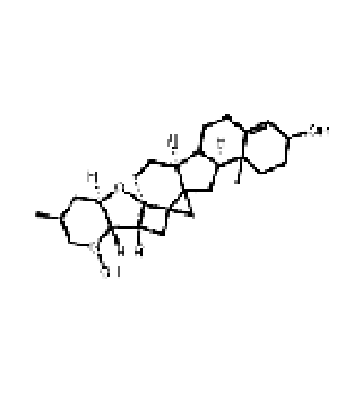 C[C@H]1C[C@H]2O[C@@]34CC[C@H]5C6CCC7=C[C@@H](O)CCC7(C)[C@H]6CC56CC63C[C@@H]4[C@@H]2N(O)C1